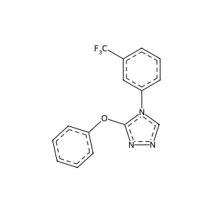 FC(F)(F)c1cccc(-n2cnnc2Oc2ccccc2)c1